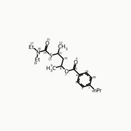 CCCc1ccc(C(=O)OC(C)CC(C)SC(=O)N(CC)CC)cc1